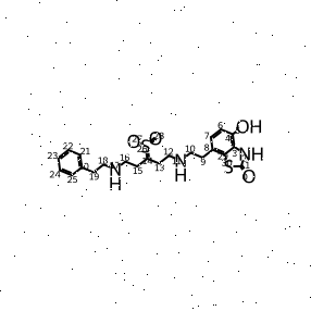 O=c1[nH]c2c(O)ccc(CCNCCC(CCNCCc3ccccc3)=S(=O)=O)c2s1